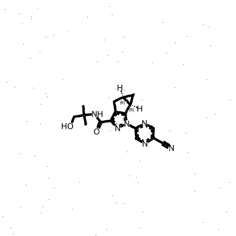 CC(C)(CO)NC(=O)c1nn(-c2cnc(C#N)cn2)c2c1C[C@H]1C[C@@H]21